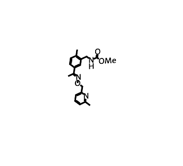 COC(=O)NCc1cc(C(C)=NOCc2cccc(C)n2)ccc1C